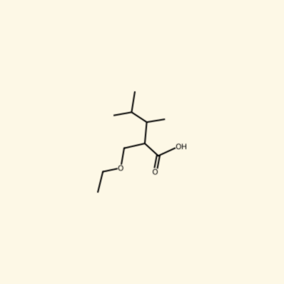 CCOCC(C(=O)O)C(C)C(C)C